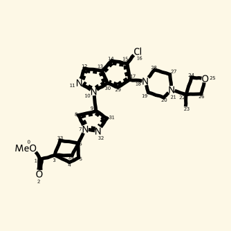 COC(=O)C12CCC(n3cc(-n4ncc5cc(Cl)c(N6CCN(C7(C)COC7)CC6)cc54)cn3)(C1)C2